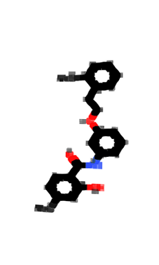 COc1ccc(C(=O)Nc2cccc(OCCc3ccccc3OC)c2)c(O)c1